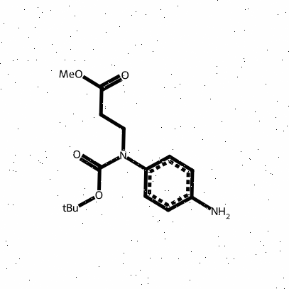 COC(=O)CCN(C(=O)OC(C)(C)C)c1ccc(N)cc1